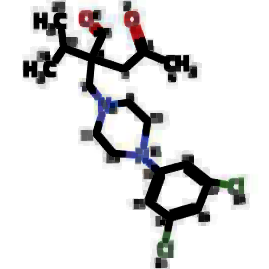 CC(=O)CC(C=O)(CN1CCN(c2cc(Cl)cc(Cl)c2)CC1)C(C)C